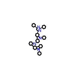 c1ccc(-c2cc(-c3ccc4c5cc(-n6c7ccccc7c7ccc8c(c9ccccc9n8-c8ccccc8)c76)ccc5n(-c5ccccc5)c4c3)nc(-c3ccccc3)n2)cc1